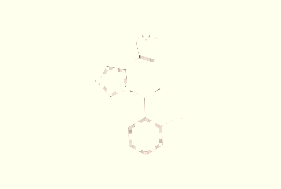 COC(=O)c1cncn1[C@@H](C)c1ccccc1Br